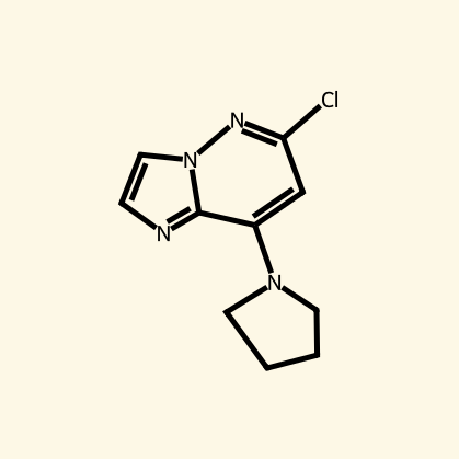 Clc1cc(N2CCCC2)c2nccn2n1